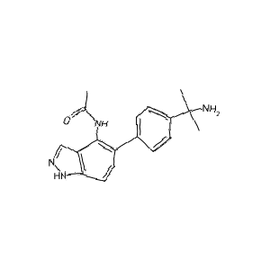 CC(=O)Nc1c(-c2ccc(C(C)(C)N)cc2)ccc2[nH]ncc12